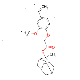 C=Cc1ccc(OCC(=O)OC2(C)C3CC4CC(C3)CC2C4)c(OC)c1